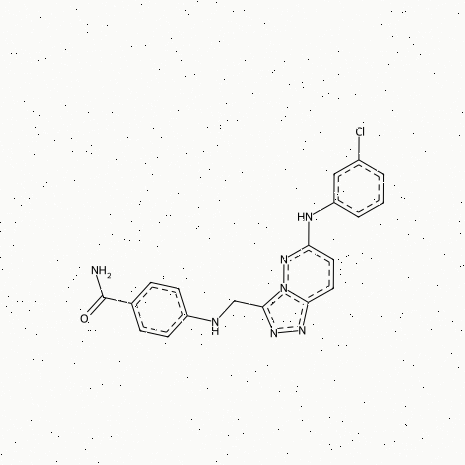 NC(=O)c1ccc(NCc2nnc3ccc(Nc4cccc(Cl)c4)nn23)cc1